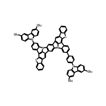 CC(C)(C)c1ccc2c(c1)c1cc(C(C)(C)C)ccc1n2-c1ccc(-c2ccc3c4c5sc6ccccc6c5cc5c6cc7c(cc6n(c3c2)c54)c2cc3c4ccccc4sc3c3c4ccc(-n5c6ccc(C(C)(C)C)cc6c6cc(C(C)(C)C)ccc65)cc4n7c23)cc1